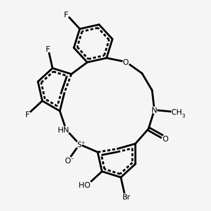 CN1CCOc2ccc(F)cc2-c2cc(c(F)cc2F)N[S+]([O-])c2cc(cc(Br)c2O)C1=O